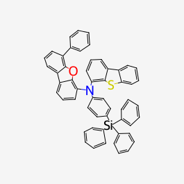 c1ccc(-c2cccc3c2oc2c(N(c4ccc([Si](c5ccccc5)(c5ccccc5)c5ccccc5)cc4)c4cccc5c4sc4ccccc45)cccc23)cc1